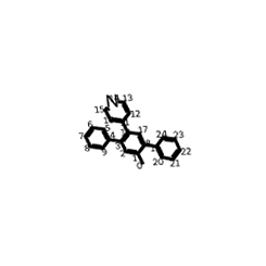 Cc1cc(-c2ccccc2)c(-c2ccncc2)cc1-c1ccccc1